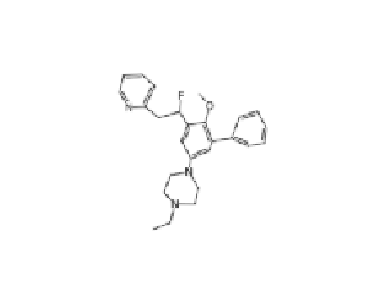 CCN1CCN(c2cc(-c3ccccc3)c(OC)c(C(F)Cc3ccccn3)c2)CC1